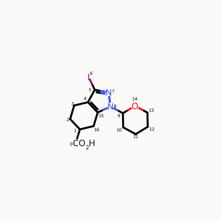 O=C(O)C1CCc2c(I)nn(C3CCCCO3)c2C1